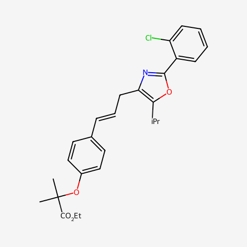 CCOC(=O)C(C)(C)Oc1ccc(/C=C/Cc2nc(-c3ccccc3Cl)oc2C(C)C)cc1